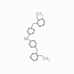 CCc1ccccc1Cc1ccc([Se]c2ccc(Cc3ccccc3CC)cc2)cc1